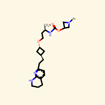 CC(=O)N1CC(OC(=O)N[C@@H](CCO[C@H]2C[C@H](CCc3ccc4c(n3)NCCC4)C2)C(=O)O)C1